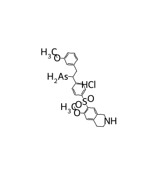 COc1cccc(CC([AsH2])c2ccc(S(=O)(=O)c3cc4c(cc3OC)CCNC4)cc2)c1.Cl